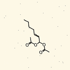 CCCCC=CC(OC(C)=O)OC(C)=O